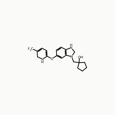 OC1(CN2CNc3ccc(OC4=CC=C(C(F)(F)F)CN4)cc32)CCCC1